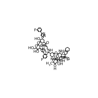 CC(=O)NC1CC(C(=O)NCCNC(=O)C2CC(n3cc(-c4cccc(F)c4)nn3)C(O)[C@H](O[C@@H]3OC(CO)[C@H](O)C(n4cc(-c5cccc(F)c5)nn4)C3O)C2)C[C@@H](O[C@@H]2OC(CO)[C@H](O)C(O[C@@H](CC3CCCCC3)C(=O)N3CCC3)C2NC(C)=O)C1O[C@@H]1OC(C)[C@@H](O)C(O)C1O